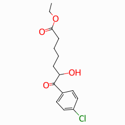 CCOC(=O)CCCCC(O)C(=O)c1ccc(Cl)cc1